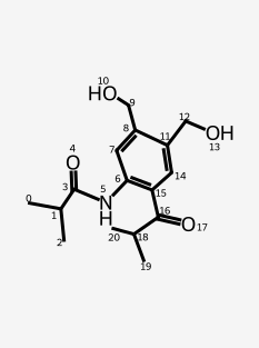 CC(C)C(=O)Nc1cc(CO)c(CO)cc1C(=O)C(C)C